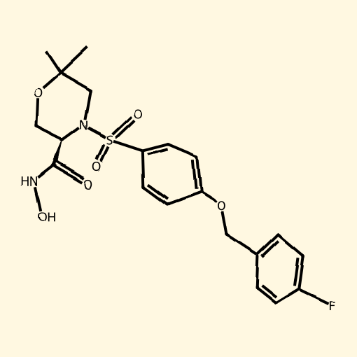 CC1(C)CN(S(=O)(=O)c2ccc(OCc3ccc(F)cc3)cc2)[C@@H](C(=O)NO)CO1